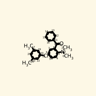 CN(C)c1ccccc1C(=O)c1ccccc1.Cc1cc(C)cc(C)c1